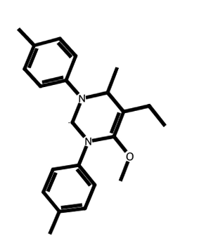 CCC1=C(OC)N(c2ccc(C)cc2)[CH]N(c2ccc(C)cc2)C1C